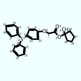 CC1(OC(=O)COc2ccc([S+](c3ccccc3)c3ccccc3)cc2)CCCC1